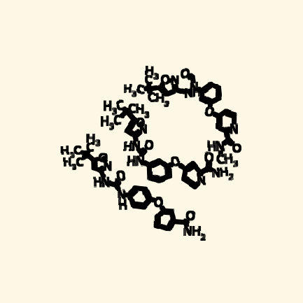 CC(C)(C)c1cc(NC(=O)Nc2ccc(Oc3cccc(C(N)=O)c3)cc2)no1.CC(C)(C)c1cc(NC(=O)Nc2cccc(Oc3ccnc(C(N)=O)c3)c2)no1.CNC(=O)c1cc(Oc2cccc(N(C=O)Nc3cc(C(C)(C)C)on3)c2)ccn1